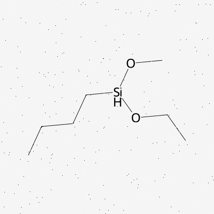 CCCC[SiH](OC)OCC